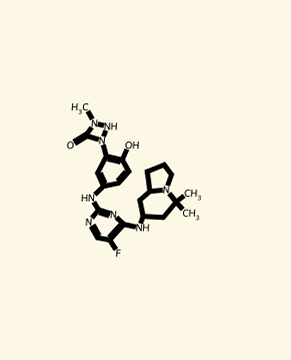 Cn1[nH]n(-c2cc(Nc3ncc(F)c(NC4CC5CCCN5C(C)(C)C4)n3)ccc2O)c1=O